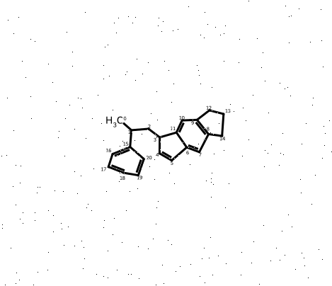 CC(C[C]1C=Cc2cc3c(cc21)CCC3)c1ccccc1